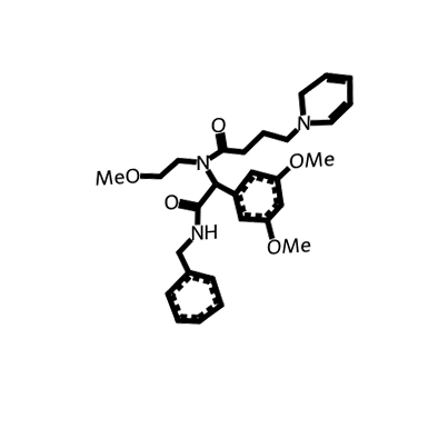 COCCN(C(=O)CCCN1C=CC=CC1)C(C(=O)NCc1ccccc1)c1cc(OC)cc(OC)c1